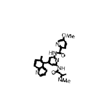 CNC(C)C(=O)Nc1cc(-c2c(C)ccc3ncccc23)cc(NC(=O)c2ccc(OC)cn2)n1